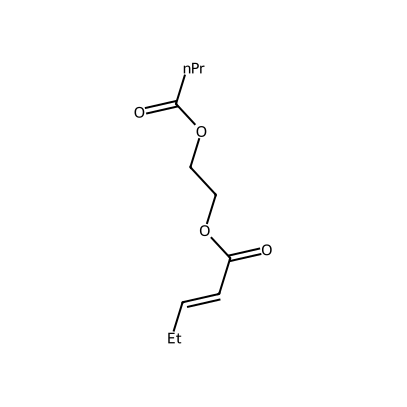 CCC=CC(=O)OCCOC(=O)CCC